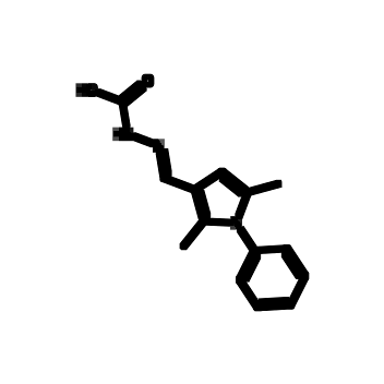 Cc1cc(C=NNC(=O)O)c(C)n1-c1ccccc1